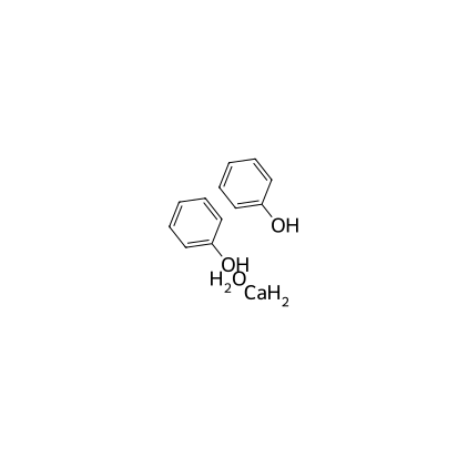 O.Oc1ccccc1.Oc1ccccc1.[CaH2]